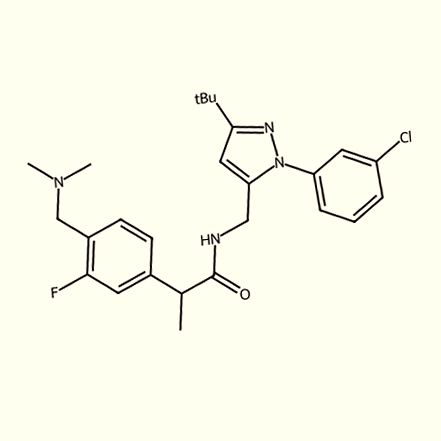 CC(C(=O)NCc1cc(C(C)(C)C)nn1-c1cccc(Cl)c1)c1ccc(CN(C)C)c(F)c1